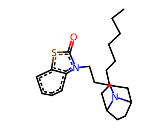 CCCCCCC1CC2CCC(C1)N2CCCn1c(=O)sc2ccccc21